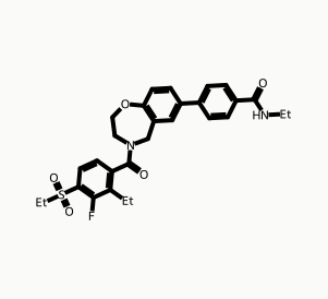 CCNC(=O)c1ccc(-c2ccc3c(c2)CN(C(=O)c2ccc(S(=O)(=O)CC)c(F)c2CC)CCO3)cc1